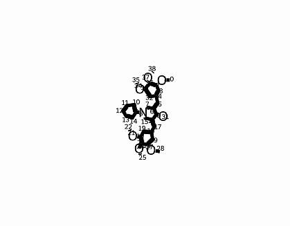 COc1cc(C=C2CN(c3ccccc3)CC(=Cc3cc(OC)c(OC)c(OC)c3)C2=O)cc(OC)c1OC